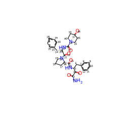 NC(=O)C(=O)C(Cc1ccccc1)NC(=O)[C@@H]1CCCN1C(=O)[C@H](Cc1ccccc1)NC(=O)N1CCC(=O)CC1